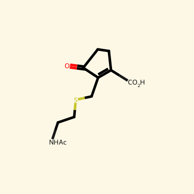 CC(=O)NCCSCC1=C(C(=O)O)CCC1=O